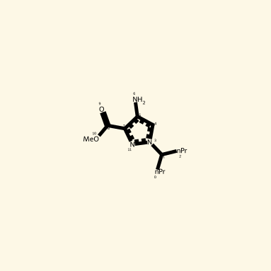 CCCC(CCC)n1cc(N)c(C(=O)OC)n1